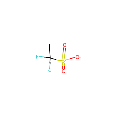 CC(F)(F)S([O])(=O)=O